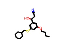 CCCCOc1cc(SCC2CCCCC2)cc(C(O)CC#N)c1